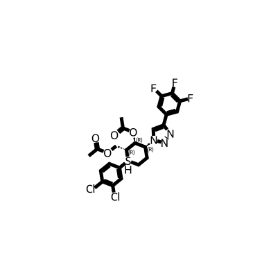 CC(=O)OC[C@@H]1[C@H](OC(C)=O)[C@H](n2cc(-c3cc(F)c(F)c(F)c3)nn2)CC[SH]1c1ccc(Cl)c(Cl)c1